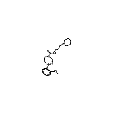 COc1ccccc1N1CCN(C(=O)NCCCN2CCCCC2)CC1